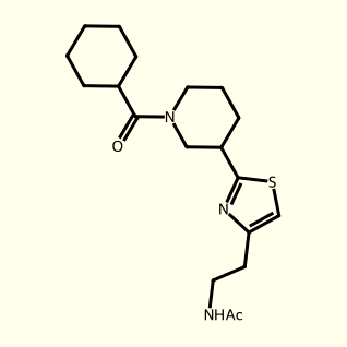 CC(=O)NCCc1csc(C2CCCN(C(=O)C3CCCCC3)C2)n1